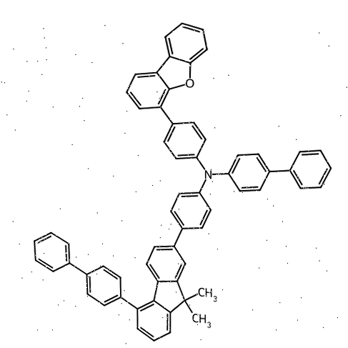 CC1(C)c2cc(-c3ccc(N(c4ccc(-c5ccccc5)cc4)c4ccc(-c5cccc6c5oc5ccccc56)cc4)cc3)ccc2-c2c(-c3ccc(-c4ccccc4)cc3)cccc21